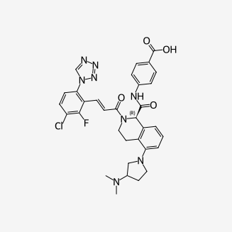 CN(C)C1CCN(c2cccc3c2CCN(C(=O)C=Cc2c(-n4cnnn4)ccc(Cl)c2F)[C@H]3C(=O)Nc2ccc(C(=O)O)cc2)C1